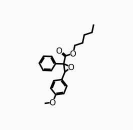 CCCCCOC(=O)C1(c2ccccc2)OC1c1ccc(OC)cc1